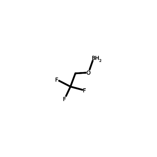 BOCC(F)(F)F